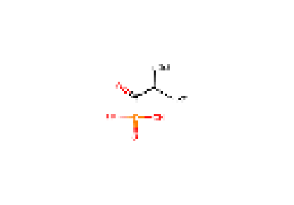 CCCCCCCCC(CCCCCCCC)C(=O)P(=O)(O)O